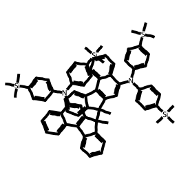 CC1(C2(C)c3ccccc3-c3c2cc(N(c2ccc([Si](C)(C)C)cc2)c2ccc(S(C)(C)C)cc2)c2ccccc32)c2ccccc2-c2c1cc(N(c1ccc([Si](C)(C)C)cc1)c1ccc([Si](C)(C)C)cc1)c1ccccc21